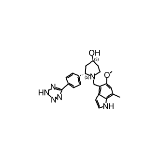 COc1cc(C)c2[nH]ccc2c1CN1CC[C@H](O)C[C@H]1c1ccc(-c2nn[nH]n2)cc1